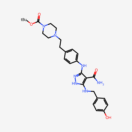 CC(C)(C)OC(=O)N1CCN(CCc2ccc(Nc3n[nH]c(NCc4ccc(O)cc4)c3C(N)=O)cc2)CC1